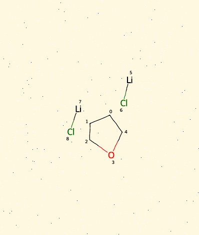 C1CCOC1.[Li][Cl].[Li][Cl]